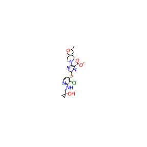 COC(=O)c1nc(Sc2ccnc(NCC3(O)CC3)c2Cl)cnc1N1CCC2(CC1)CO[C@@H](C)C2